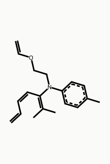 C=C/C=C\C(=C(C)C)N(CCOC=C)c1ccc(C)cc1